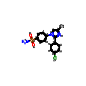 CCc1cn(-c2ccc(S(N)(=O)=O)cc2)c(-c2ccc(Cl)cc2)n1